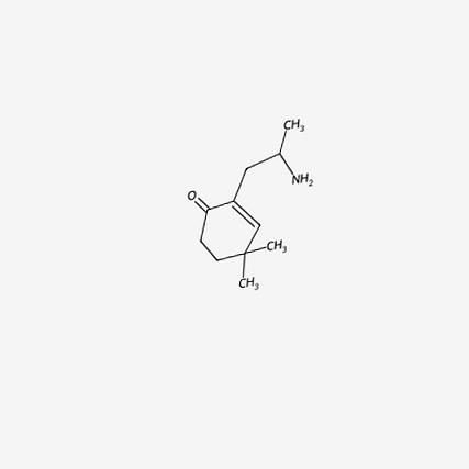 CC(N)CC1=CC(C)(C)CCC1=O